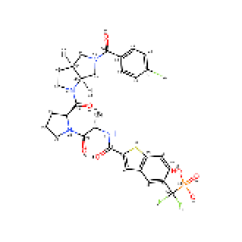 CC(C)(C)[C@H](NC(=O)c1cc2cc(C(F)(F)P(=O)(O)O)ccc2s1)C(=O)N1CCC[C@H]1C(=O)N1CC[C@H]2CN(C(=O)c3ccc(F)cc3)C[C@H]21